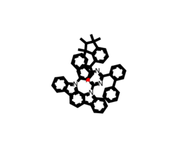 CC1C(C)(C)c2cccc(-c3ccc(-n4c5ccccc5c5ccc6c7ccccc7n(-c7nc(-c8ccccc8)nc(-c8ccccc8-c8ccccc8)n7)c6c54)cc3)c2C1(C)C